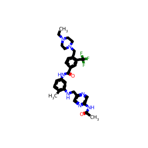 CCN1CCN(Cc2ccc(C(=O)Nc3ccc(C)c(NCc4cnc(NC(C)=O)cn4)c3)cc2C(F)(F)F)CC1